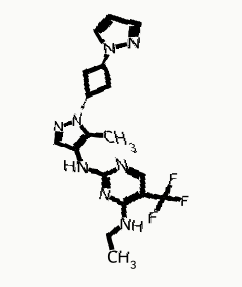 CCNc1nc(Nc2cnn([C@H]3C[C@H](n4cccn4)C3)c2C)ncc1C(F)(F)F